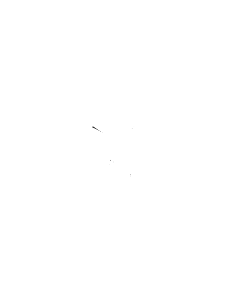 COC(=O)[C@@H](N1CCCC1=O)C(C)(C)C